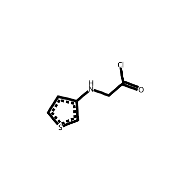 O=C(Cl)CNc1ccsc1